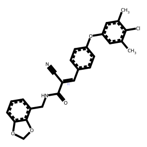 Cc1cc(Oc2ccc(/C=C(\C#N)C(=O)NCc3cccc4c3OCO4)cc2)cc(C)c1Cl